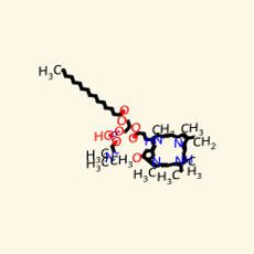 C=CC1=C(C)c2cc3[nH]c(c4c5nc(cc6[nH]c(cc1n2)c(C)c6CC)C(C)=C5C(=O)C4)C(CCC(=O)OC(COC(=O)CCCCCCCCCCCCCCC)COP(O)OCC[N+](C)(C)C)C3C